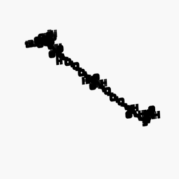 [3H]OP(O)(=S)OC(CNC(=O)C(=O)NCCCOCCOCCOCCCNC(=O)C(=O)NCCCOCCOCCOCCCNC(=O)CCCCC1SCC2NC(=O)NC21)COP(=O)(O)OC(C)(C)C